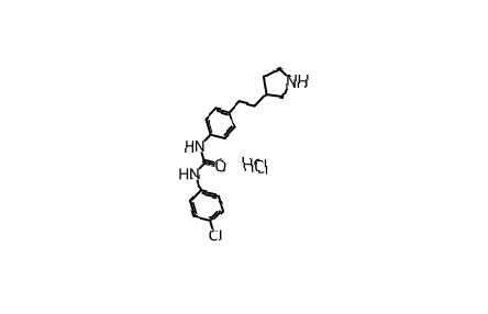 Cl.O=C(Nc1ccc(Cl)cc1)Nc1ccc(CCC2CCNC2)cc1